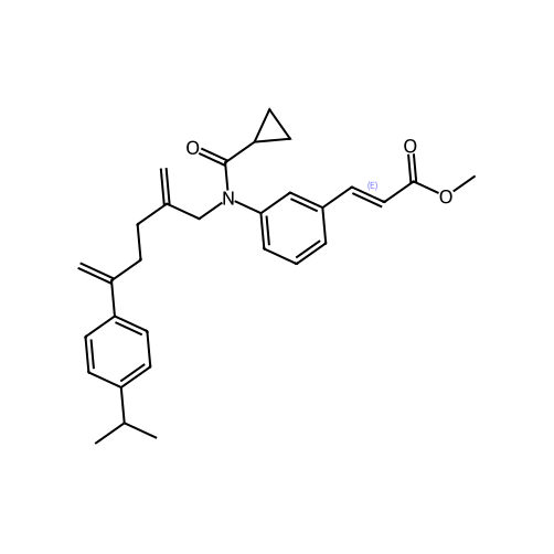 C=C(CCC(=C)c1ccc(C(C)C)cc1)CN(C(=O)C1CC1)c1cccc(/C=C/C(=O)OC)c1